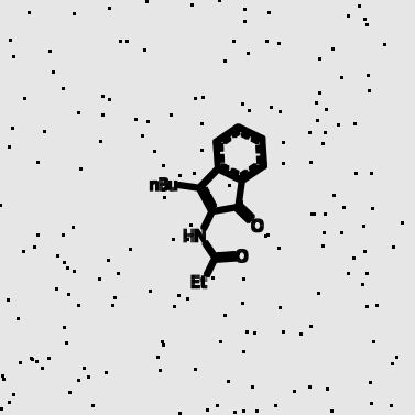 CCCCC1=C(NC(=O)CC)C(=O)c2ccccc21